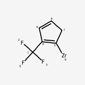 FC(F)(F)C1=[C]([Zr])CC=C1